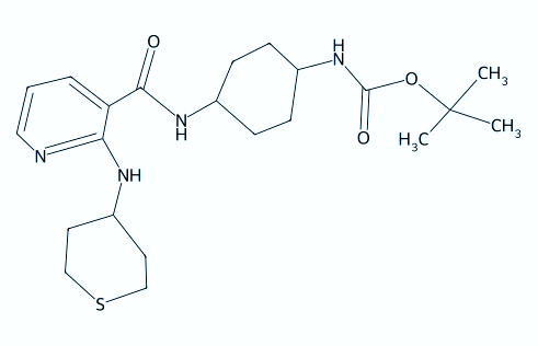 CC(C)(C)OC(=O)NC1CCC(NC(=O)c2cccnc2NC2CCSCC2)CC1